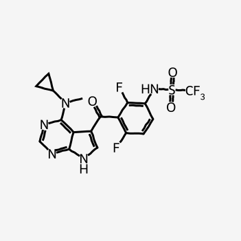 CN(c1ncnc2[nH]cc(C(=O)c3c(F)ccc(NS(=O)(=O)C(F)(F)F)c3F)c12)C1CC1